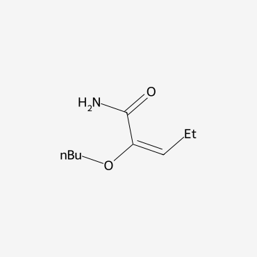 CC/C=C(/OCCCC)C(N)=O